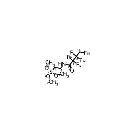 CO[Si](CCNC(=O)C(F)(F)C(F)(F)CF)(OC)OC